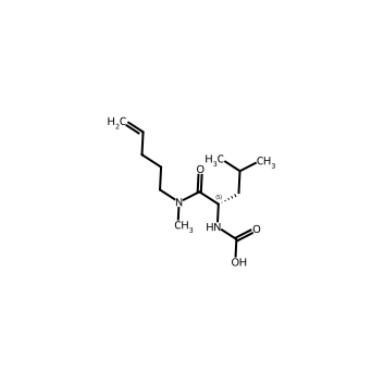 C=CCCCN(C)C(=O)[C@H](CC(C)C)NC(=O)O